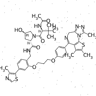 CC(=O)N[C@H](C(=O)N1C[C@H](O)C[C@H]1C(=O)NCc1ccc(-c2scnc2C)cc1OCCCOc1ccc(C2=NCc3nnc(C)n3-c3sc(C)c(C)c32)cc1)C(C)(C)C